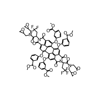 COC(=O)c1cccc(Oc2cc3c4c(cc(Oc5cccc(C(=O)OC)c5)c5c6c(Oc7cccc(C(=O)OC)c7)cc7c8c(cc(Oc9cccc(C(=O)OC)c9)c(c2c45)c86)C(=O)N(C(CC(F)(F)F)C(=O)N(CC2CO2)CC2CO2)C7=O)C(=O)N(C(CC(F)(F)F)C(=O)N(CC2CO2)CC2CO2)C3=O)c1